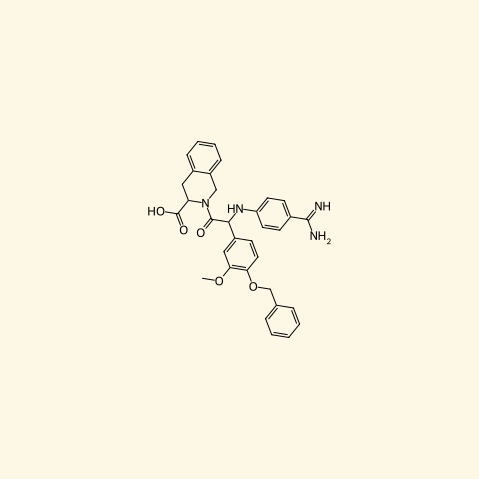 COc1cc(C(Nc2ccc(C(=N)N)cc2)C(=O)N2Cc3ccccc3CC2C(=O)O)ccc1OCc1ccccc1